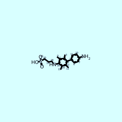 Cc1c(C)c(-c2ccc(N)cc2)c(C)c(C)c1NCCCS(=O)(=O)O